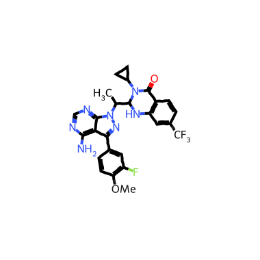 COc1ccc(-c2nn(C(C)C3Nc4cc(C(F)(F)F)ccc4C(=O)N3C3CC3)c3ncnc(N)c23)cc1F